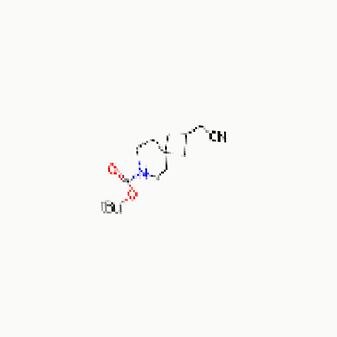 CC(C)(C)OC(=O)N1CCC2(CC1)CC(CC#N)C2